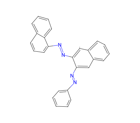 [c]1c(N=Nc2cccc3ccccc23)c(N=Nc2ccccc2)cc2ccccc12